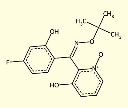 CC(C)(C)ON=C(c1ccc(F)cc1O)c1c(O)ccc[n+]1[O-]